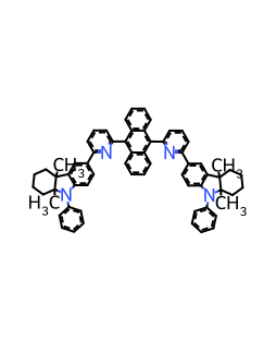 CC12CCCCC1(C)N(c1ccccc1)c1ccc(-c3cccc(-c4c5ccccc5c(-c5cccc(-c6ccc7c(c6)C6(C)CCCCC6(C)N7c6ccccc6)n5)c5ccccc45)n3)cc12